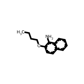 CCCCOc1ccc2ccccc2c1N